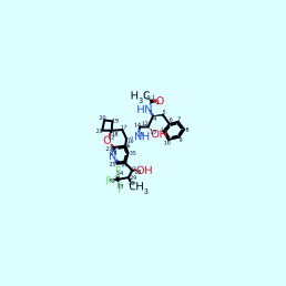 CC(=O)N[C@@H](Cc1ccccc1)[C@H](O)CN[C@H]1CC2(CCC2)Oc2ncc(C(O)C(C)C(F)(F)F)cc21